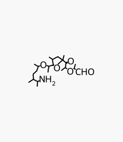 CC(C=O)OC(C)C(=O)C(C)(C)CC(C)C(=O)C(C)OC(C)CCC(C)C(C)N